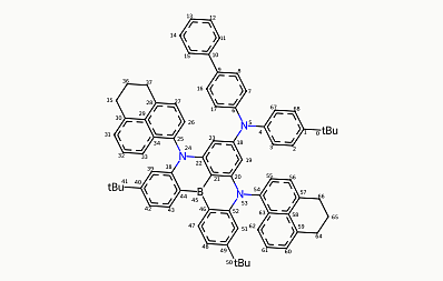 CC(C)(C)c1ccc(N(c2ccc(-c3ccccc3)cc2)c2cc3c4c(c2)N(c2ccc5c6c(cccc26)CCC5)c2cc(C(C)(C)C)ccc2B4c2ccc(C(C)(C)C)cc2N3c2ccc3c4c(cccc24)CCC3)cc1